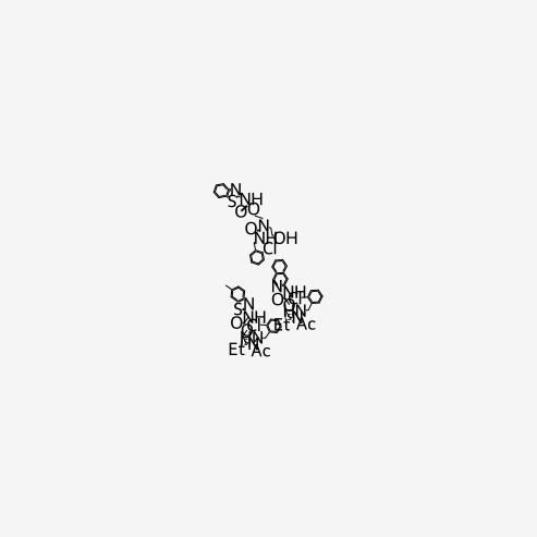 CC[C@@H](COC(=O)Nc1cc2ccccc2cn1)N(NCc1ccccc1Cl)C(C)=O.CC[C@@H](COC(=O)Nc1nc2ccc(C)cc2s1)N(NCc1ccccc1Cl)C(C)=O.O=C(Nc1nc2ccccc2s1)OCCN(CCO)C(=O)NCc1ccccc1Cl